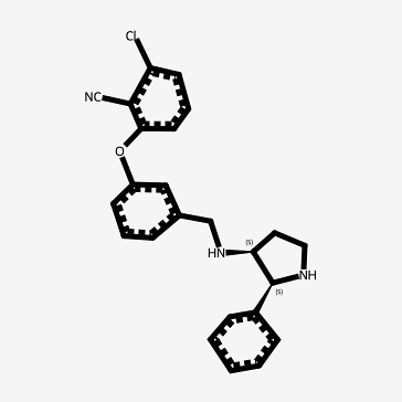 N#Cc1c(Cl)cccc1Oc1cccc(CN[C@H]2CCN[C@H]2c2ccccc2)c1